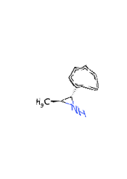 C[C@@H]1N[C@H]1c1ccccc1